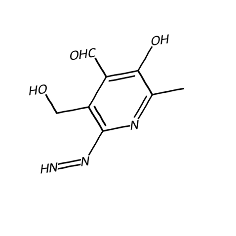 Cc1nc(N=N)c(CO)c(C=O)c1O